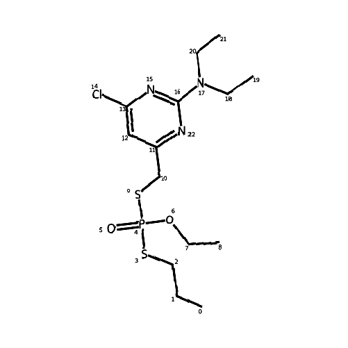 CCCSP(=O)(OCC)SCc1cc(Cl)nc(N(CC)CC)n1